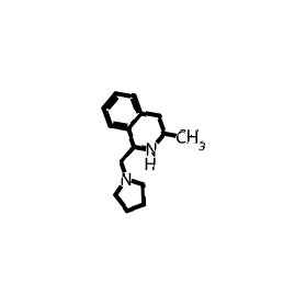 CC1Cc2ccccc2C(CN2CCCC2)N1